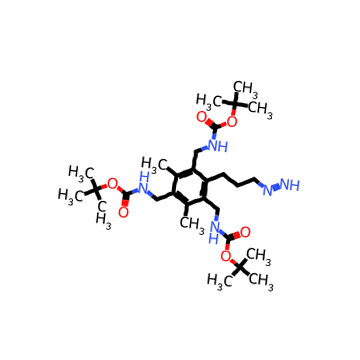 Cc1c(CNC(=O)OC(C)(C)C)c(C)c(CNC(=O)OC(C)(C)C)c(CCCN=N)c1CNC(=O)OC(C)(C)C